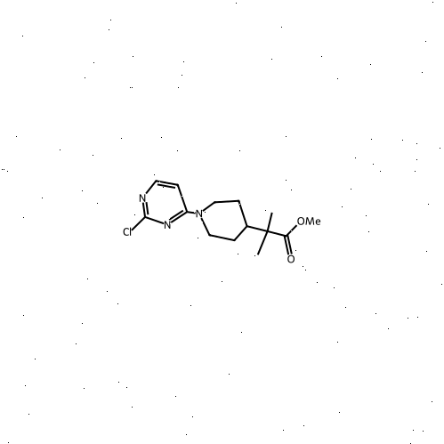 COC(=O)C(C)(C)C1CCN(c2ccnc(Cl)n2)CC1